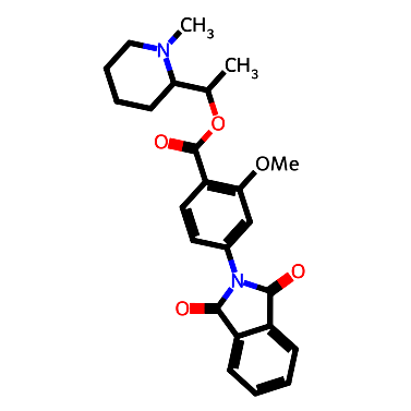 COc1cc(N2C(=O)c3ccccc3C2=O)ccc1C(=O)OC(C)C1CCCCN1C